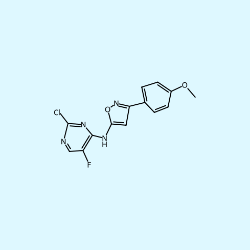 COc1ccc(-c2cc(Nc3nc(Cl)ncc3F)on2)cc1